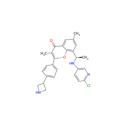 Cc1cc([C@@H](C)Nc2ccc(Cl)nc2)c2oc(-c3ccc(C4CNC4)cc3)c(C)c(=O)c2c1